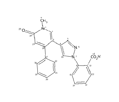 Cn1cc(-c2cnn(-c3ccccc3C(=O)O)c2)c(-c2ccccc2)cc1=O